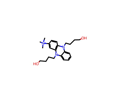 C[N+](C)(C)c1ccc2c(c1)N(CCCCO)c1ccccc1N2CCCCO